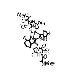 CC[C@H](NC(=O)[C@H](C)NC)C(=O)N1C[C@@H](O)C[C@H]1Cc1c(-c2[nH]c3c(F)cccc3c2C[C@@H]2C[C@H](F)CN2C(=O)[C@H](CC)NC(=O)[C@H](C)NC)[nH]c2cc(F)ccc12